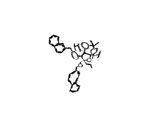 C/C=C/[C@]1(COCc2ccc3ccccc3c2)O[C@@H]2OC(C)(C)O[C@@H]2[C@@H]1OCc1ccc2ccccc2c1